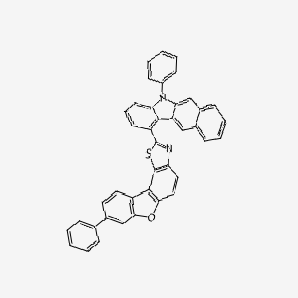 c1ccc(-c2ccc3c(c2)oc2ccc4nc(-c5cccc6c5c5cc7ccccc7cc5n6-c5ccccc5)sc4c23)cc1